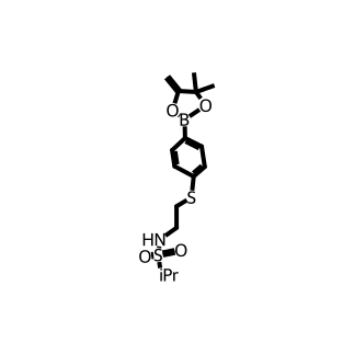 C=C1OB(c2ccc(SCCNS(=O)(=O)C(C)C)cc2)OC1(C)C